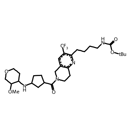 COC1COCCC1NC1CCC(C(=O)N2CCc3nc(CCCCNC(=O)OC(C)(C)C)c(C(F)(F)F)cc3C2)C1